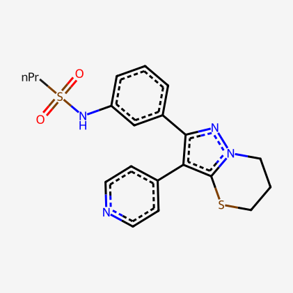 CCCS(=O)(=O)Nc1cccc(-c2nn3c(c2-c2ccncc2)SCCC3)c1